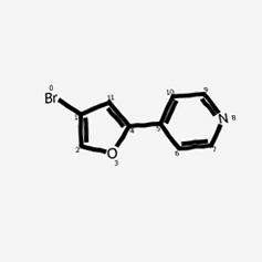 Brc1coc(-c2ccncc2)c1